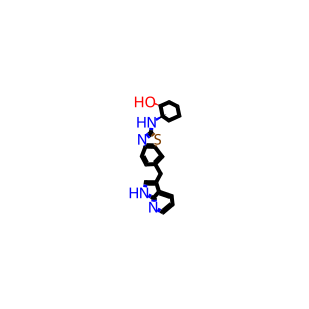 O[C@@H]1CCCC[C@H]1Nc1nc2ccc(Cc3c[nH]c4ncccc34)cc2s1